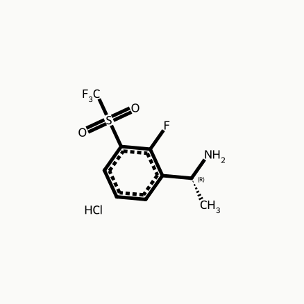 C[C@@H](N)c1cccc(S(=O)(=O)C(F)(F)F)c1F.Cl